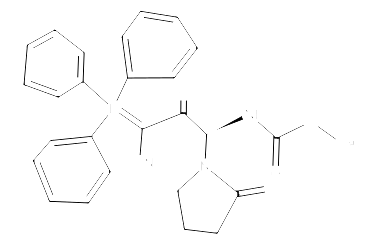 CC(C)(C)OC(=O)N[C@H](C(=O)C(C#N)=P(c1ccccc1)(c1ccccc1)c1ccccc1)N1CCCC1=O